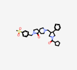 CS(=O)(=O)c1ccc(CN2CCC3(CCN(CC4CN(C(=O)C5CCCC5)CC4c4ccccc4)CC3)C2=O)cc1